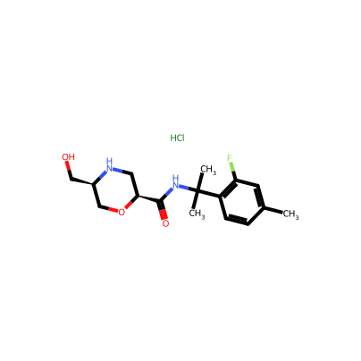 Cc1ccc(C(C)(C)NC(=O)[C@@H]2CN[C@H](CO)CO2)c(F)c1.Cl